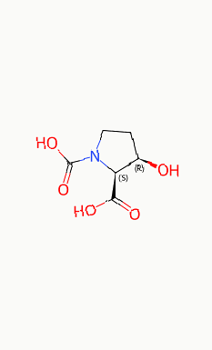 O=C(O)[C@@H]1[C@H](O)CCN1C(=O)O